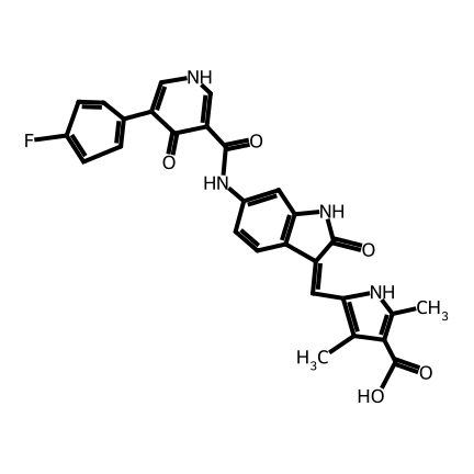 Cc1[nH]c(C=C2C(=O)Nc3cc(NC(=O)c4c[nH]cc(-c5ccc(F)cc5)c4=O)ccc32)c(C)c1C(=O)O